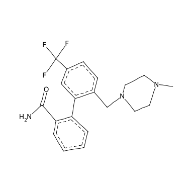 CN1CCN(Cc2ccc(C(F)(F)F)cc2-c2ccccc2C(N)=O)CC1